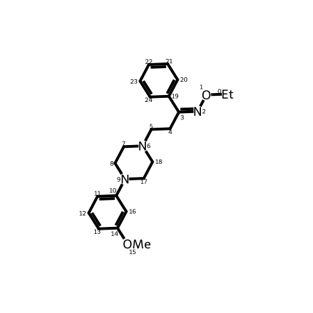 CCO/N=C(/CCN1CCN(c2cccc(OC)c2)CC1)c1ccccc1